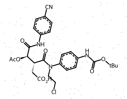 CC(=O)O[C@@H](C(=O)Nc1ccc(C#N)cc1)[C@@H](CC(=O)O)C(=O)N(CCCl)c1ccc(NC(=O)OC(C)(C)C)cc1